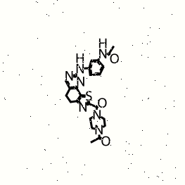 CC(=O)Nc1cccc(Nc2ncc3c(n2)-c2sc(C(=O)N4CCN(C(C)=O)CC4)nc2CC3)c1